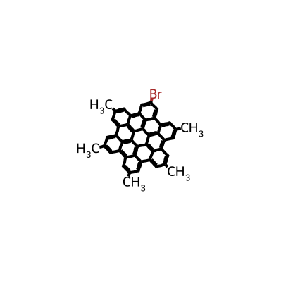 Cc1cc2c3cc(C)cc4c5cc(C)cc6c7cc(Br)cc8c9cc(C)cc%10c%11cc(C)cc%12c(c1)c2c1c(c34)c(c56)c(c78)c(c%109)c1c%12%11